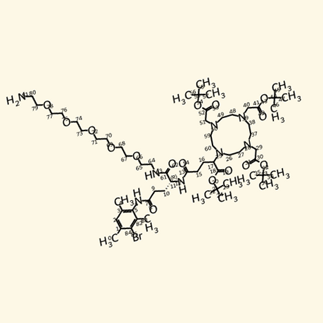 Cc1cc(C)c(NC(=O)CC[C@@H](NC(=O)CCC(C(=O)OC(C)(C)C)N2CCN(CC(=O)OC(C)(C)C)CCN(CC(=O)OC(C)(C)C)CCN(CC(=O)OC(C)(C)C)CC2)C(=O)NCCOCCOCCOCCOCCOCCN)c(C)c1Br